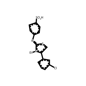 CCn1c(-c2cccc(Cl)c2)cs/c1=N\c1ccc(S(=O)(=O)O)cc1